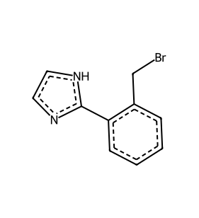 BrCc1ccccc1-c1ncc[nH]1